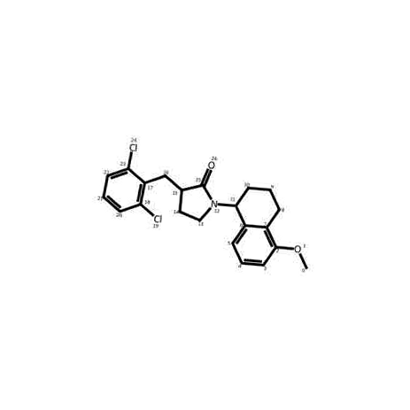 COc1cccc2c1CCCC2N1CCC(Cc2c(Cl)cccc2Cl)C1=O